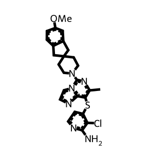 COc1ccc2c(c1)CC1(CCN(c3nc(C)c(Sc4ccnc(N)c4Cl)c4nccn34)CC1)C2